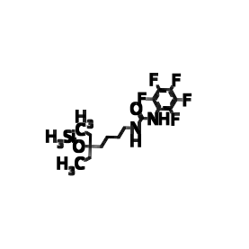 CCC(CC)(CCCCNC(=O)Nc1c(F)c(F)c(F)c(F)c1F)O[SiH3]